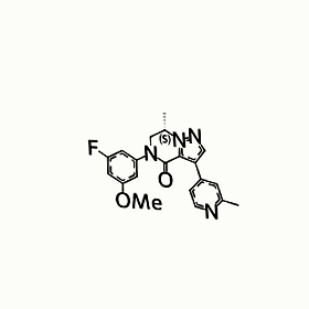 COc1cc(F)cc(N2C[C@H](C)n3ncc(-c4ccnc(C)c4)c3C2=O)c1